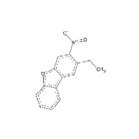 CCc1cc2c(cc1[N+](=O)[O-])oc1ccccc12